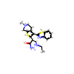 CC(C)CNCC(C(N)=O)c1sc2c(c1-c1nc3ccccc3s1)CCN(C(C)C)C2